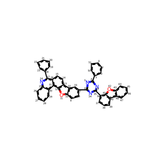 c1ccc(-c2nc(-c3ccc4oc5c(ccc6c(-c7ccccc7)nc7ccccc7c65)c4c3)nc(-c3cccc4c3oc3ccccc34)n2)cc1